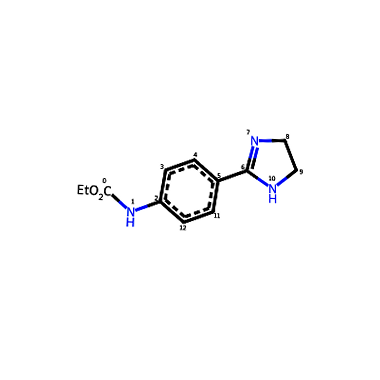 CCOC(=O)Nc1ccc(C2=NCCN2)cc1